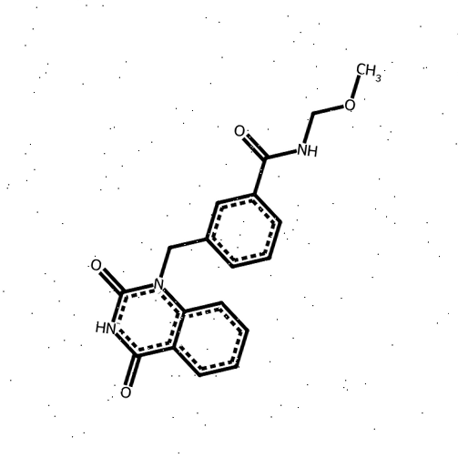 COCNC(=O)c1cccc(Cn2c(=O)[nH]c(=O)c3ccccc32)c1